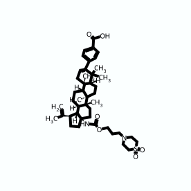 C=C(C)[C@@H]1CC[C@]2(NC(=O)OCCCN3CCS(=O)(=O)CC3)CC[C@]3(C)[C@H](CC[C@@H]4[C@@]5(C)CC=C(c6ccc(C(=O)O)cc6)C(C)(C)[C@@H]5CC[C@]43C)[C@@H]12